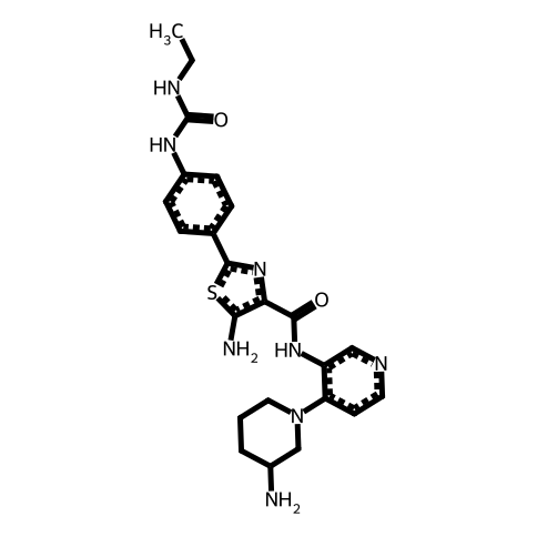 CCNC(=O)Nc1ccc(-c2nc(C(=O)Nc3cnccc3N3CCCC(N)C3)c(N)s2)cc1